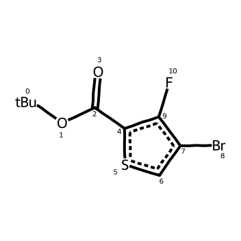 CC(C)(C)OC(=O)c1scc(Br)c1F